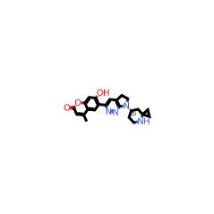 Cc1cc(=O)oc2cc(O)c(-c3cc4c(nn3)N([C@H]3CCNC5(CC5)C3)CC4)cc12